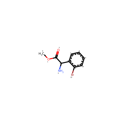 COC(=O)C(N)c1ccccc1Br